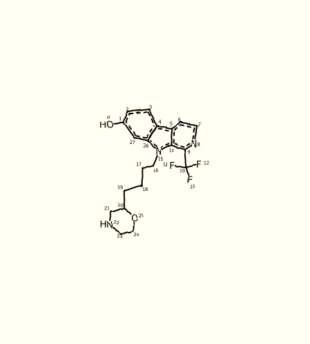 Oc1ccc2c3ccnc(C(F)(F)F)c3n(CCCCC3CNCCO3)c2c1